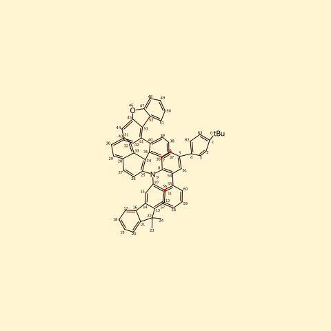 CC(C)(C)c1ccc(-c2ccc(N(c3ccc4c(c3)-c3ccccc3C4(C)C)c3ccc4ccccc4c3-c3ccccc3-c3cccc4oc5ccccc5c34)c(-c3ccccc3)c2)cc1